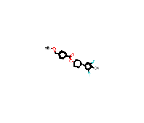 CCCCOCc1ccc(C(=O)O[C@H]2CC[C@H](c3cc(F)c(C#N)c(F)c3)CC2)cc1